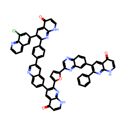 O=c1cc[nH]c2nc(-c3ccc(-c4cnc5ccc(-c6cc7c(=O)cc[nH]c7nc6-c6ccc(-c7cnc8ccc(-c9cc%10c(=O)cc[nH]c%10nc9-c9ccccc9)cc8n7)o6)cc5c4)cc3)c(-c3cc(Cl)c4ncccc4c3)cc12